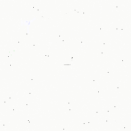 CC(C)(C)c1ccc(-c2cc3c(s2)C(C#N)=CNC3Cl)cc1